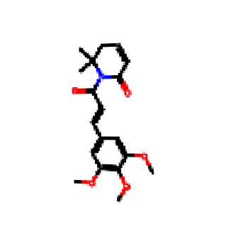 COc1cc(C=CC(=O)N2C(=O)C=CCC2(C)C)cc(OC)c1OC